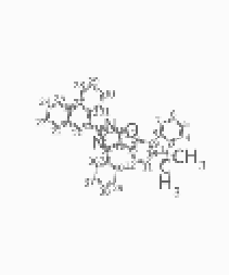 CC1(C)c2ccccc2-c2c1ccc1c2oc2nc(-c3cc4ccccc4c4ccccc34)nc(-c3ccccc3)c21